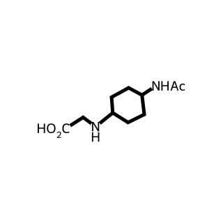 CC(=O)NC1CCC(NCC(=O)O)CC1